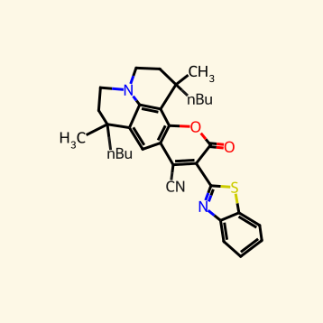 CCCCC1(C)CCN2CCC(C)(CCCC)c3c2c1cc1c(C#N)c(-c2nc4ccccc4s2)c(=O)oc31